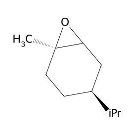 CC(C)[C@H]1CC[C@@]2(C)OC2C1